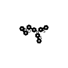 c1cc(-c2ccc(N(c3ccc4c(c3)sc3ccccc34)c3ccc4c(c3)sc3ccccc34)cc2)c2c(c1)-n1c3ccccc3c3cccc(c31)O2